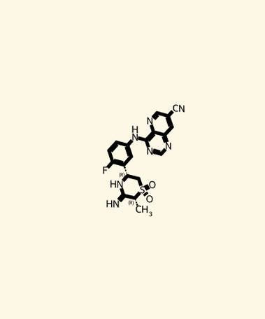 C[C@@H]1C(=N)N[C@H](c2cc(Nc3ncnc4cc(C#N)cnc34)ccc2F)CS1(=O)=O